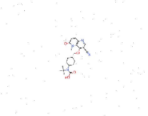 Cn1c(=O)ccc2ncc(C#N)c(OC[C@H]3CC[C@H](N(C(=O)O)C(C)(C)C)CC3)c21